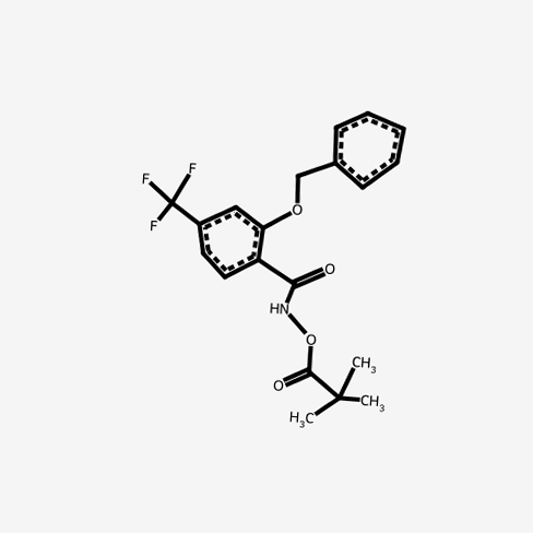 CC(C)(C)C(=O)ONC(=O)c1ccc(C(F)(F)F)cc1OCc1ccccc1